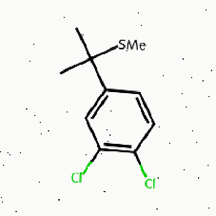 [CH2]SC(C)(C)c1ccc(Cl)c(Cl)c1